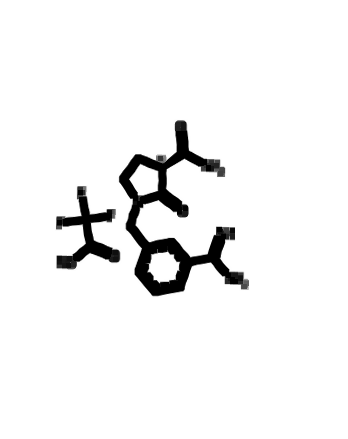 N=C(N)c1cccc(CN2CC[C@@H](C(N)=O)C2=O)c1.O=C(O)C(F)(F)F